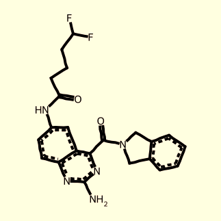 Nc1nc(C(=O)N2Cc3ccccc3C2)c2cc(NC(=O)CCCC(F)F)ccc2n1